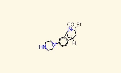 CCOC(=O)N1CC[C@H]2CC1c1cc(N3CCNCC3)ccc12